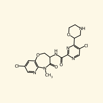 CN1C(=O)C(NC(=O)c2ncc(Cl)c(C3CNCCO3)n2)COc2cc(Cl)cnc21